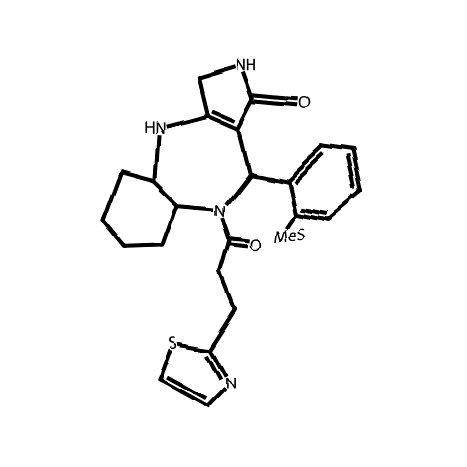 CSc1ccccc1C1C2=C(CNC2=O)NC2CCCCC2N1C(=O)CCc1nccs1